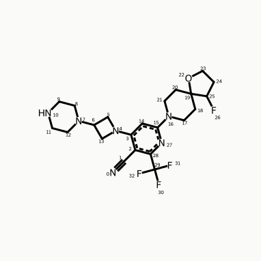 N#Cc1c(N2CC(N3CCNCC3)C2)cc(N2CCC3(CC2)OCCC3F)nc1C(F)(F)F